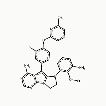 CCOc1c(N)cccc1N1CCn2c1c(-c1ccc(Oc3cccc(C)n3)c(F)c1)c1c(N)ncnc12